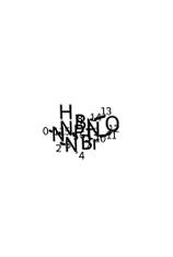 CN1CN(C)[C](=[Pt]([Br])([Br])[N]2CCOCC2)N1